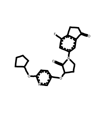 O=C1CCc2c(F)cc(N3CCC(Oc4ccc(OC5CCCC5)nc4)C3=O)cc21